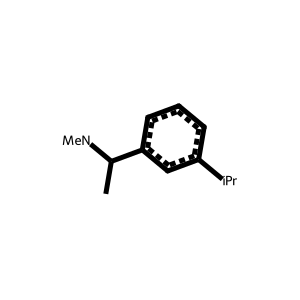 CNC(C)c1cccc(C(C)C)c1